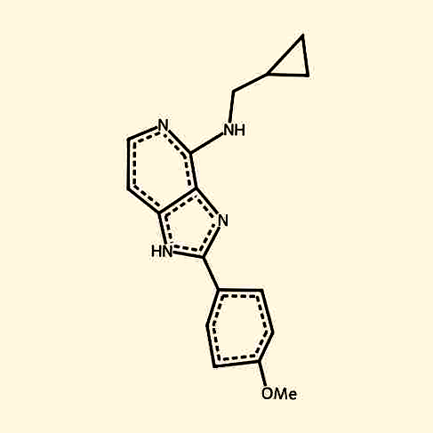 COc1ccc(-c2nc3c(NCC4CC4)nccc3[nH]2)cc1